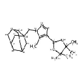 Cc1c(B2OC(C)(C)C(C)(C)O2)cnn1CC12CC3CC(CC(C3)C1)C2